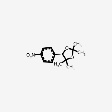 CC1(C)O[C@H](c2ccc([N+](=O)[O-])cc2)C(C)(C)O1